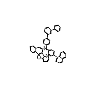 c1ccc(-c2cccc(-c3ccc(N(c4ccc(-c5cccc6ccccc56)cc4)c4cc5ccccc5c5oc6cccnc6c45)cc3)c2)cc1